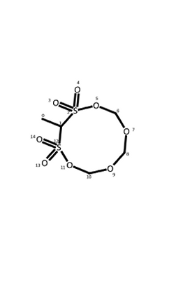 CC1S(=O)(=O)OCOCOCOS1(=O)=O